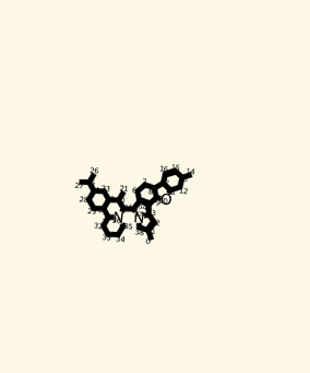 CC1=CC2C3=C(CCC4C3OC3CC(C)C=CC34)C(C3C(C)C4CC(C(C)C)CCC4C4CCCCN43)N2C1